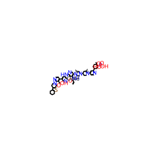 C=CC(=O)Nc1cc(Nc2cc(-c3ccnc(N4CCc5c(sc6c5CCCC6)C4=O)c3CO)cnc2OC)ncc1N1CCN(C2CCN(c3ccnc(C4CCC(C)(OP(=O)(O)O)CC4)c3)[C@H](C)C2)C[C@@H]1C